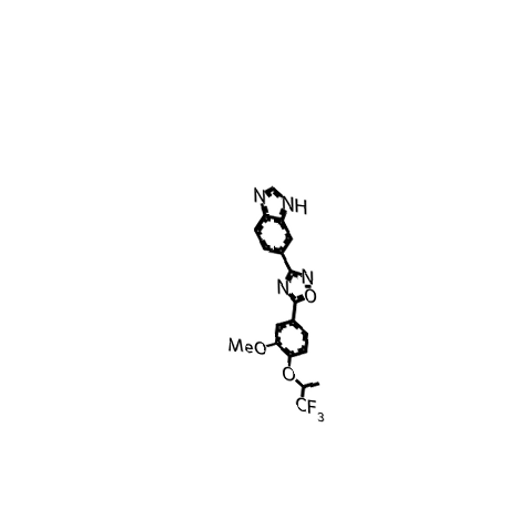 COc1cc(-c2nc(-c3ccc4nc[nH]c4c3)no2)ccc1OC(C)C(F)(F)F